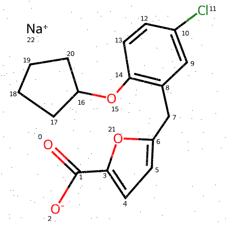 O=C([O-])c1ccc(Cc2cc(Cl)ccc2OC2CCCC2)o1.[Na+]